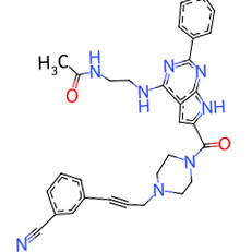 CC(=O)NCCNc1nc(-c2ccccc2)nc2[nH]c(C(=O)N3CCN(CC#Cc4cccc(C#N)c4)CC3)cc12